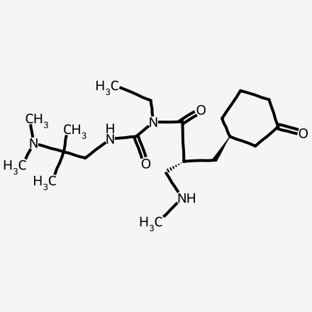 CCN(C(=O)NCC(C)(C)N(C)C)C(=O)[C@@H](CNC)C[C@H]1CCCC(=O)C1